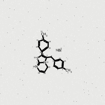 Br.Cc1ccc(CC2=C(c3ccc(C)cc3)SC3=NC=CCN32)cc1